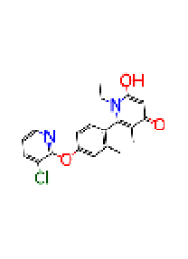 CCn1c(O)cc(=O)c(C)c1-c1ccc(Oc2ncccc2Cl)cc1C